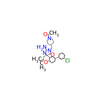 CC(=O)N1CCC(CN2C(=O)C3(CC(C)(C)Oc4ccc(-c5cccc(Cl)c5)cc43)N=C2N)CC1